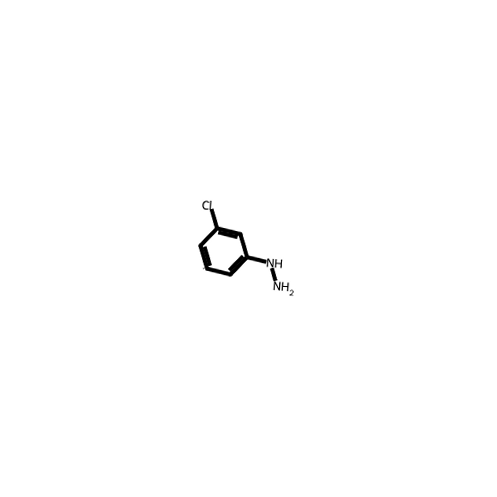 NNc1c[c]cc(Cl)c1